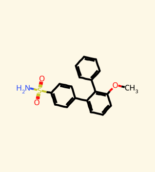 COc1cccc(-c2ccc(S(N)(=O)=O)cc2)c1-c1ccccc1